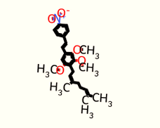 COc1cc(C=Cc2ccc([N+](=O)[O-])cc2)c(OC)c(OC)c1CC=C(C)CCC=C(C)C